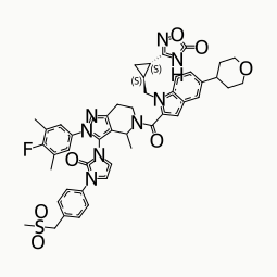 Cc1cc(-n2nc3c(c2-n2ccn(-c4ccc(CS(C)(=O)=O)cc4)c2=O)C(C)N(C(=O)c2cc4cc(C5CCOCC5)ccc4n2C[C@H]2C[C@@H]2c2noc(=O)[nH]2)CC3)cc(C)c1F